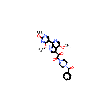 COc1ncc(-c2ncc(OC)c3c(C(=O)C(=O)N4CCN(C(=O)c5ccccc5)CC4)c[nH]c23)c(OC)n1